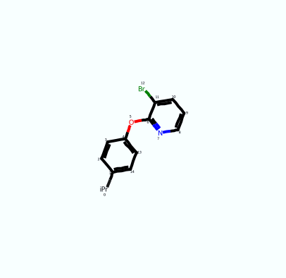 CC(C)c1ccc(Oc2ncccc2Br)cc1